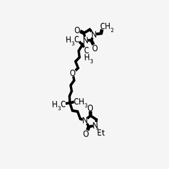 C=CN1CC(=O)N(C(C)(C)CCCCOCCCCC(C)(C)CCCN2C(=O)CN(CC)C2=O)C1=O